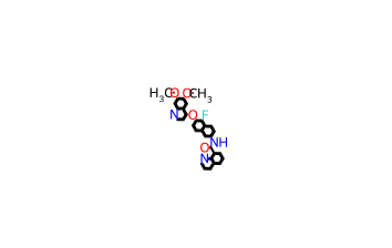 COc1cc2nccc(Oc3ccc4cc(NC(=O)c5cccc6cccnc56)ccc4c3F)c2cc1OC